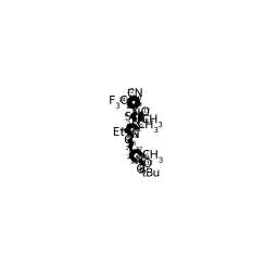 CCc1cc(N2C(=S)N(c3ccc(C#N)c(C(F)(F)F)c3)C(=O)C2(C)C)cnc1OCC[C@@H]1CCN(C(=O)OC(C)(C)C)[C@@H](C)C1